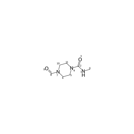 CNC(=O)N1CCN(C=O)CC1